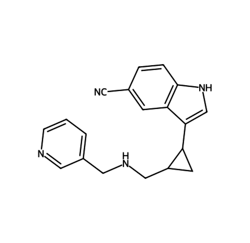 N#Cc1ccc2[nH]cc(C3CC3CNCc3cccnc3)c2c1